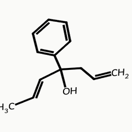 C=CCC(O)(C=CC)c1ccccc1